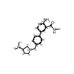 CNC(=O)c1cc(-c2ccc(CN3CCC(N(C)C)C3)cc2)cnc1N